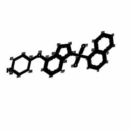 O=S(=O)(c1cccc2ccccc12)n1ccc2c(OC3CCNCC3)cccc21